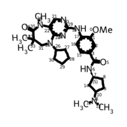 COc1cc(C(=O)N[C@H]2CCC(N(C)C)C2)ccc1Nc1ncc2c(n1)N(C1CCCC1)CC(C)(C)C(=O)N2C